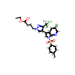 CCOC(=O)CCCn1cc(-c2cn(S(=O)(=O)c3ccc(C)cc3)c3ncc(Br)cc23)c(C(F)(F)F)n1